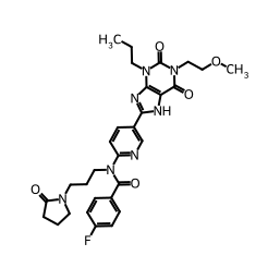 CCCn1c(=O)n(CCOC)c(=O)c2[nH]c(-c3ccc(N(CCCN4CCCC4=O)C(=O)c4ccc(F)cc4)nc3)nc21